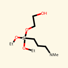 CCO[Si](CCCNC)(OCC)OCCO